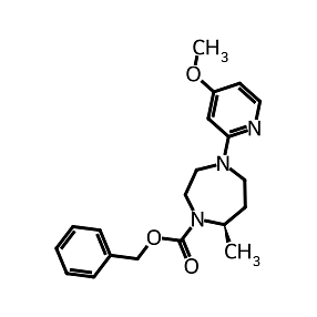 COc1ccnc(N2CC[C@@H](C)N(C(=O)OCc3ccccc3)CC2)c1